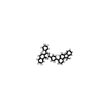 CC1(C)c2ccccc2-c2ccc3c(-c4ccc(-c5nc(-c6ccccc6)c6ccc7ccccc7c6n5)cc4)cccc3c21